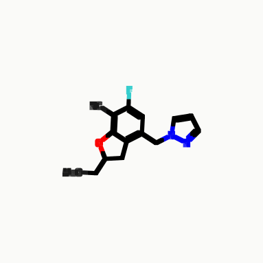 COCC1Cc2c(Cn3cccn3)cc(F)c(C#N)c2O1